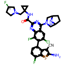 N#Cc1c(N)sc2c(F)ccc(-c3c(Cl)cc4c(N5CC6CCC(C5)N6)nc(C(=O)NC5(CN6CC[C@@H](F)C6)CC5)nc4c3F)c12